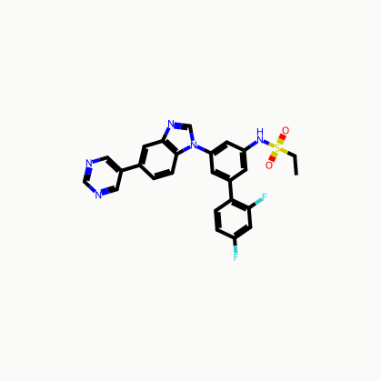 CCS(=O)(=O)Nc1cc(-c2ccc(F)cc2F)cc(-n2cnc3cc(-c4cncnc4)ccc32)c1